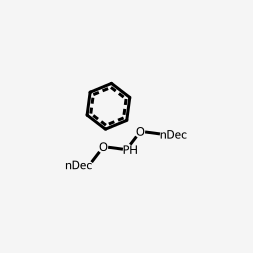 CCCCCCCCCCOPOCCCCCCCCCC.c1ccccc1